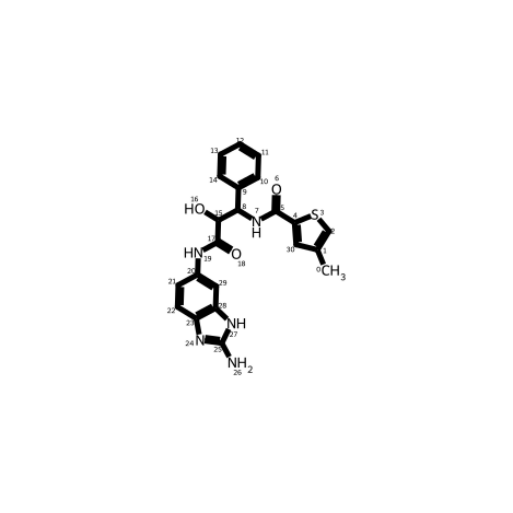 Cc1csc(C(=O)NC(c2ccccc2)C(O)C(=O)Nc2ccc3nc(N)[nH]c3c2)c1